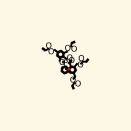 C=CC(=O)OCc1cc(C)c(C(=O)P(=O)(C(=O)c2c(C)cc(COC(=O)C=C)cc2COC(=O)C=C)c2ccccc2)c(COC(=O)C=C)c1